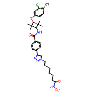 CC1(C)C(NC(=O)c2ccc(-c3cn(CCCCCCC(=O)NO)nn3)cc2)C(C)(C)C1Oc1ccc(C#N)c(Cl)c1